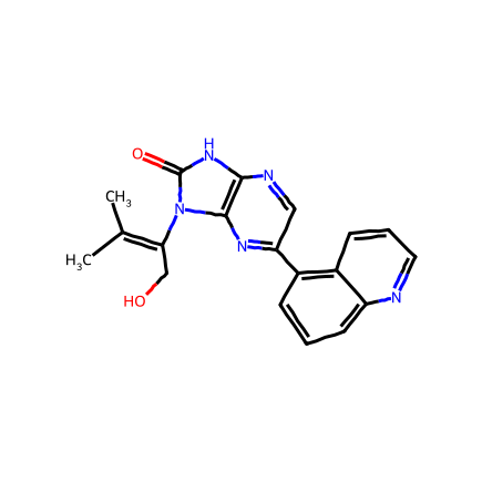 CC(C)=C(CO)n1c(=O)[nH]c2ncc(-c3cccc4ncccc34)nc21